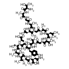 CC(C)C[C@H](NC(=O)[C@H](C)NC(=O)CNC(=O)[C@H](CC(=O)O)NC(=O)[C@H](C)NC(=O)CNC(=O)[C@H](C)NC(=O)[C@@H](N)[C@@H](C)O)C(=O)N[C@H](C(=O)NCC(=O)N[C@H](C(=O)N[C@@H](Cc1ccc(O)cc1)C(=O)N[C@@H](CCC(=O)O)C(=O)N[C@@H](CO)C(=O)N[C@@H](C)C(=O)N[C@H](C(=O)NCC(=O)N[C@@H](CC(N)=O)C(=O)O)C(C)C)[C@@H](C)O)[C@@H](C)O